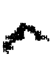 Cc1cc(CNc2nc(CNc3cccc(S(=O)(=O)Nc4ccsc4C(=O)N[C@@H](CCCNC(=N)N)C(=O)O)c3)cs2)no1